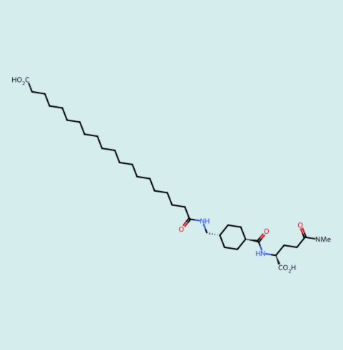 CNC(=O)CC[C@H](NC(=O)[C@H]1CC[C@H](CNC(=O)CCCCCCCCCCCCCCCCCCC(=O)O)CC1)C(=O)O